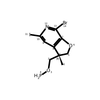 C[C@]1(COP)COc2c1cc(I)nc2Br